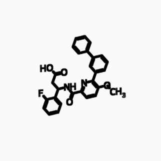 COc1ccc(C(=O)NC(CC(=O)O)c2ccccc2F)nc1-c1cccc(-c2ccccc2)c1